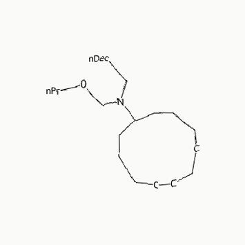 CCCCCCCCCCCN(COCCC)C1CCCCCCCCCC1